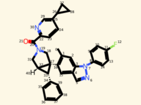 Cc1cc2c(cnn2-c2ccc(F)cc2)cc1[C@@]12CN(C(=O)c3ccc(C4CC4)cn3)C[C@@H]1[C@H]2c1ccccc1